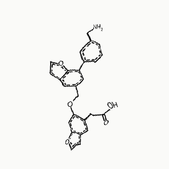 NCc1cccc(-c2cc(COc3cc4occc4cc3CC(=O)O)cc3ccoc23)c1